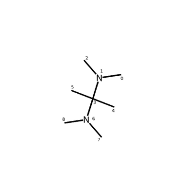 CN(C)C(C)(C)N(C)C